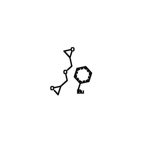 C(OCC1CO1)C1CO1.CCC(C)c1ccccc1